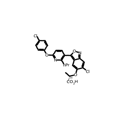 CCCc1nc(Oc2ccc(Cl)cc2)ccc1-c1onc2cc(Cl)c(O[C@@H](C)C(=O)O)cc12